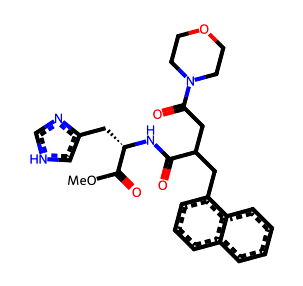 COC(=O)[C@H](Cc1c[nH]cn1)NC(=O)C(CC(=O)N1CCOCC1)Cc1cccc2ccccc12